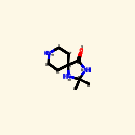 CC1(C)NC(=O)C2(CCNCC2)N1